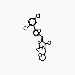 O=C1C(=Cc2ccc(-c3cc(Cl)ccc3Cl)o2)SC(=S)N1CC1CCCO1